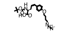 CC(C)(C)OC(=O)N[C@@H](C/C=C\c1ccc(OCCCCN=[N+]=[N-])cc1)C(=O)O